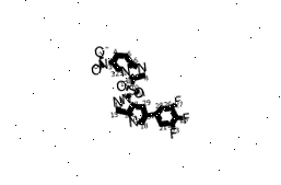 O=[N+]([O-])c1ccc2ncc(S(=O)(=O)n3ncc4ncc(-c5cc(F)c(F)c(F)c5)cc43)n2c1